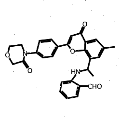 Cc1cc(C(C)Nc2ccccc2C=O)c2oc(-c3ccc(N4CCOCC4=O)cc3)cc(=O)c2c1